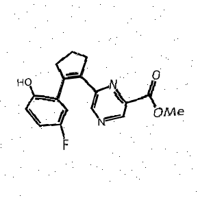 COC(=O)c1cncc(C2=C(c3cc(F)ccc3O)CCC2)n1